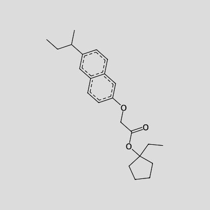 CCC(C)c1ccc2cc(OCC(=O)OC3(CC)CCCC3)ccc2c1